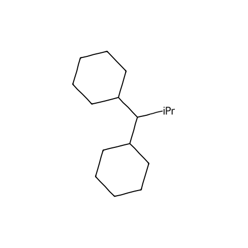 CC(C)C(C1CCCCC1)C1CCCCC1